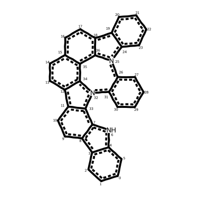 c1ccc2c(c1)[nH]c1c2ccc2c3ccc4ccc5c6ccccc6n6c7ccccc7n(c21)c3c4c56